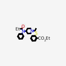 CCOC(=O)c1ccccc1SC(C)N1CCC(N(C(=O)CC)c2ccccc2)CC1